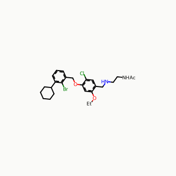 CCOc1cc(OCc2cccc(C3CCCCC3)c2Br)c(Cl)cc1CNCCNC(C)=O